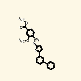 COC(=O)c1ccc(NSc2ccc(-c3cccc(-c4ccccc4)c3)s2)c(OC)c1